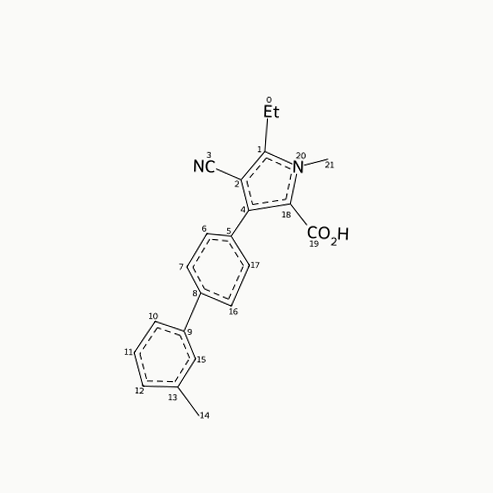 CCc1c(C#N)c(-c2ccc(-c3cccc(C)c3)cc2)c(C(=O)O)n1C